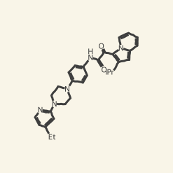 CCc1ccnc(N2CCN(c3ccc(NC(=O)C(=O)c4c(C(C)C)cc5ccccn45)cc3)CC2)c1